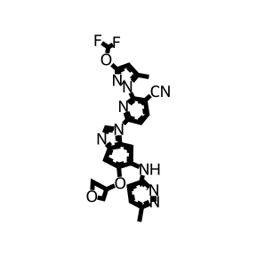 Cc1ccc(Nc2cc3c(cc2OC2COC2)ncn3-c2ccc(C#N)c(-n3nc(OC(F)F)cc3C)n2)nn1